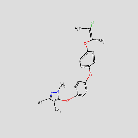 C/C(Cl)=C(/C)Oc1ccc(Oc2ccc(Oc3c(C)c(C)nn3C)cc2)cc1